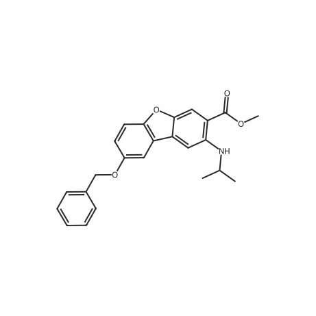 COC(=O)c1cc2oc3ccc(OCc4ccccc4)cc3c2cc1NC(C)C